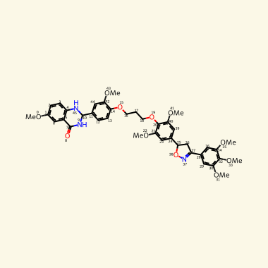 COc1ccc2c(c1)C(=O)NC(c1ccc(OCCCOc3c(OC)cc(C4CC(c5cc(OC)c(OC)c(OC)c5)=NO4)cc3OC)c(OC)c1)N2